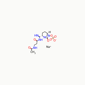 CC(=O)NCCC(=O)NC(=N)[C@@H]1CC[C@@H]2CN1C(=O)N2OS(=O)(=O)[O-].[Na+]